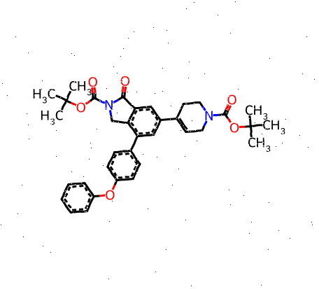 CC(C)(C)OC(=O)N1CC=C(c2cc3c(c(-c4ccc(Oc5ccccc5)cc4)c2)CN(C(=O)OC(C)(C)C)C3=O)CC1